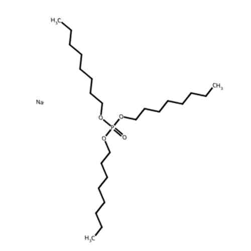 CCCCCCCCOP(=O)(OCCCCCCCC)OCCCCCCCC.[Na]